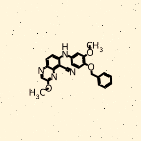 COc1cnc2ccc(Nc3ccc(OCc4ccccc4)c(OC)c3)c(C#N)c2n1